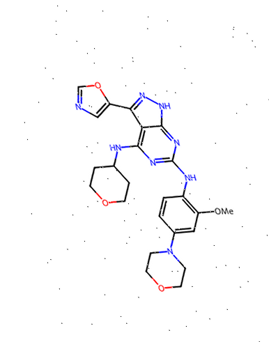 COc1cc(N2CCOCC2)ccc1Nc1nc(NC2CCOCC2)c2c(-c3cnco3)n[nH]c2n1